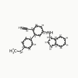 CSc1[c]cc(-c2cc(Nn3cnc4ccccc43)ccc2C#N)cc1